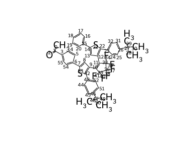 CC(=O)c1ccc(-c2cc(C3=C(c4cc(-c5ccccc5)sc4-c4ccc(C(C)(C)C)cc4)C(F)(F)C(F)(F)C3(F)F)c(-c3ccc(C(C)(C)C)cc3)s2)cc1